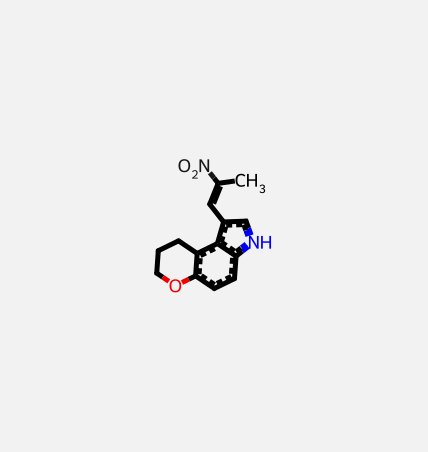 CC(=Cc1c[nH]c2ccc3c(c12)CCCO3)[N+](=O)[O-]